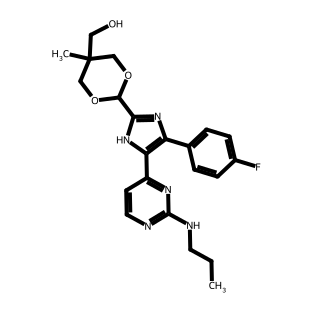 CCCNc1nccc(-c2[nH]c(C3OCC(C)(CO)CO3)nc2-c2ccc(F)cc2)n1